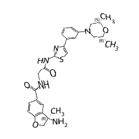 C[C@@H]1CN(c2cccc(-c3csc(NC(=O)CNC(=O)c4ccc5c(c4)[C@@](C)(N)CO5)n3)c2)C[C@H](C)O1